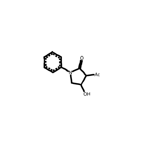 CC(=O)C1C(=O)N(c2ccccc2)CC1O